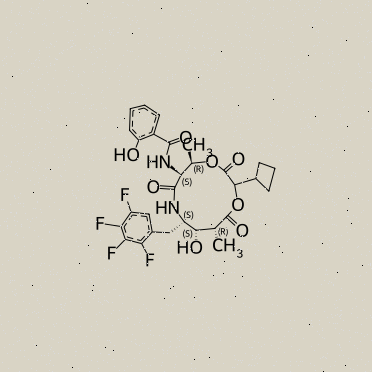 C[C@H]1OC(=O)C(C2CCC2)OC(=O)[C@H](C)[C@H](O)[C@H](Cc2cc(F)c(F)c(F)c2F)NC(=O)[C@H]1NC(=O)c1ccccc1O